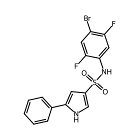 O=S(=O)(Nc1cc(F)c(Br)cc1F)c1c[nH]c(-c2ccccc2)c1